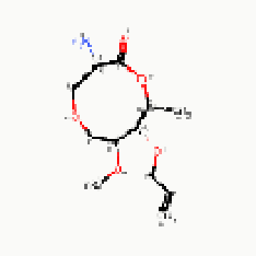 C=CCO[C@H]1[C@H](C)OC(=O)[C@@H](N)COC[C@@H]1OCCCC